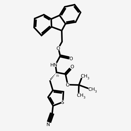 CC(C)(C)OC(=O)[C@H](Cc1csc(C#N)c1)NC(=O)OCC1c2ccccc2-c2ccccc21